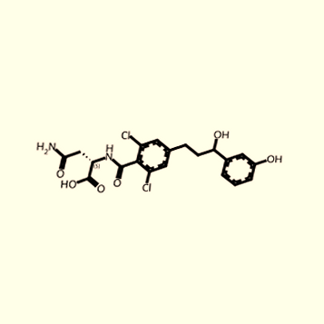 NC(=O)C[C@H](NC(=O)c1c(Cl)cc(CCC(O)c2cccc(O)c2)cc1Cl)C(=O)O